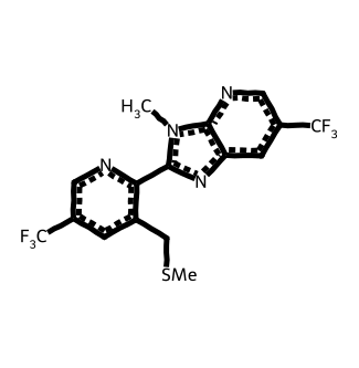 CSCc1cc(C(F)(F)F)cnc1-c1nc2cc(C(F)(F)F)cnc2n1C